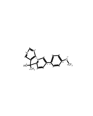 CC(O)(c1cncnc1)c1ccc(-c2ccc(OC(F)(F)F)cc2)cn1